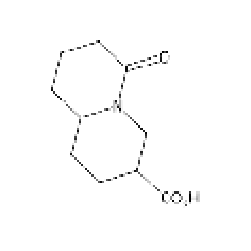 O=C(O)C1CCC2CCCC(=O)N2C1